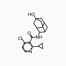 O=C(NC1C2CC3CC1CC(O)(C3)C2)c1c(Cl)ccnc1C1CC1